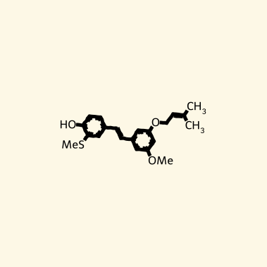 COc1cc(C=Cc2ccc(O)c(SC)c2)cc(OCC=C(C)C)c1